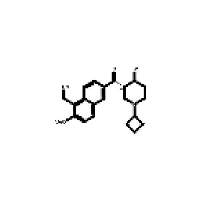 COc1ccc2cc(C(=O)[C@H]3CN(C4CCC4)CCC3C(C)C)ccc2c1CC#N